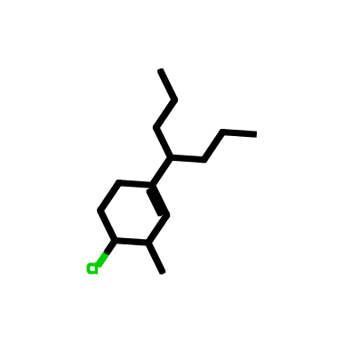 CCCC(CCC)C1=CC(C)C(Cl)CC1